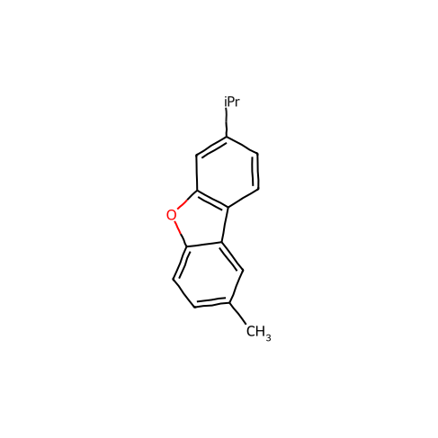 Cc1ccc2oc3cc(C(C)C)ccc3c2c1